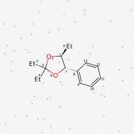 CC[C@@H]1OC(CC)(CC)O[C@H]1c1ccccc1